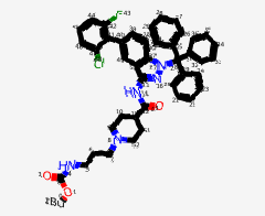 CC(C)(C)OC(=O)NCCCN1CCC(C(=O)Nc2nn(C(c3ccccc3)(c3ccccc3)c3ccccc3)c3ccc(-c4c(F)cccc4Cl)cc23)CC1